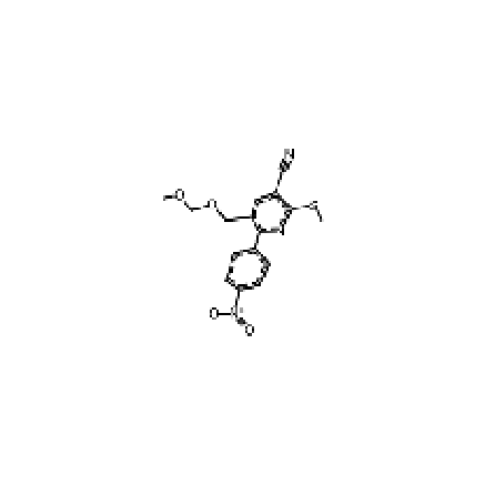 COCOCc1cc(C#N)c(SC)nc1-c1ccc([N+](=O)[O-])cc1